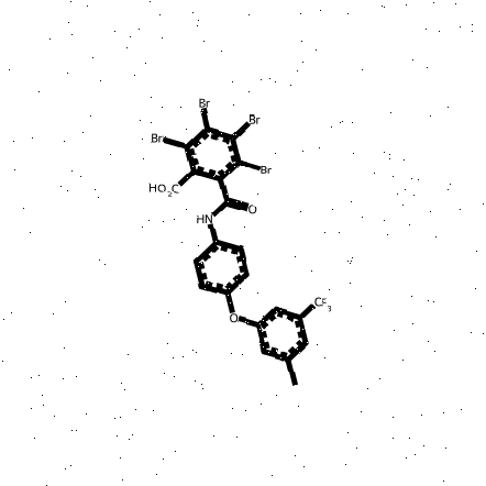 Cc1cc(Oc2ccc(NC(=O)c3c(Br)c(Br)c(Br)c(Br)c3C(=O)O)cc2)cc(C(F)(F)F)c1